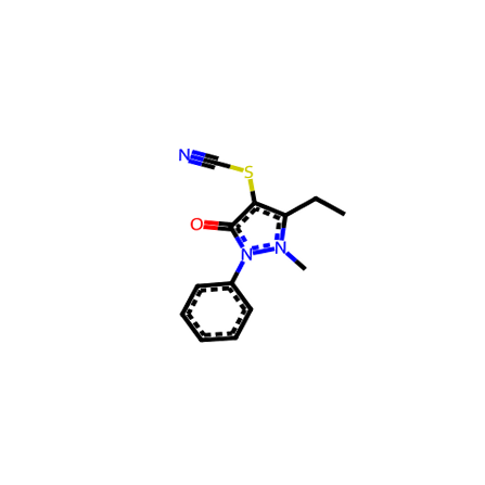 CCc1c(SC#N)c(=O)n(-c2ccccc2)n1C